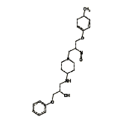 CC1C=CC(OCC(CN2CCC(NCC(O)COc3ccccc3)CC2)N=O)=CC1